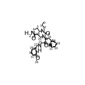 CCCN(CCC)C(=O)N(CCC(N)=O)[C@@H](Cc1ccccc1)[C@H](O)CNCc1cccc(OC)c1